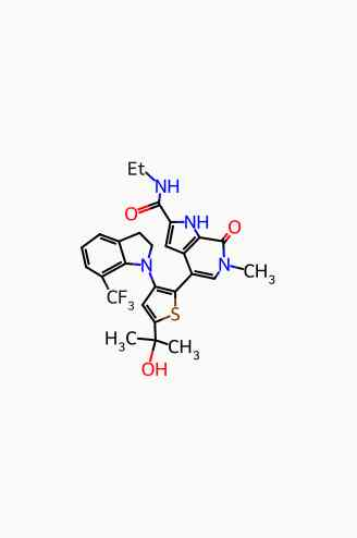 CCNC(=O)c1cc2c(-c3sc(C(C)(C)O)cc3N3CCc4cccc(C(F)(F)F)c43)cn(C)c(=O)c2[nH]1